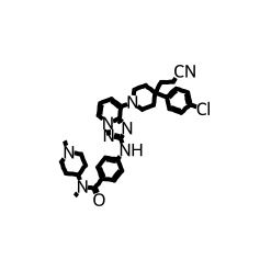 CN1CCC(N(C)C(=O)c2ccc(Nc3nc4c(N5CCC(CCC#N)(c6ccc(Cl)cc6)CC5)cccn4n3)cc2)CC1